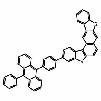 c1ccc(-c2c3ccccc3c(-c3ccc(-c4ccc5c(c4)sc4ccc6cc7sc8ccccc8c7cc6c45)cc3)c3ccccc23)cc1